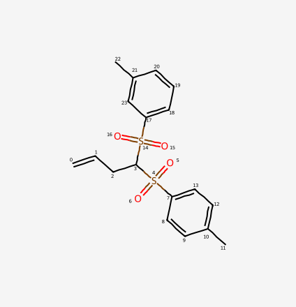 C=CCC(S(=O)(=O)c1ccc(C)cc1)S(=O)(=O)c1cccc(C)c1